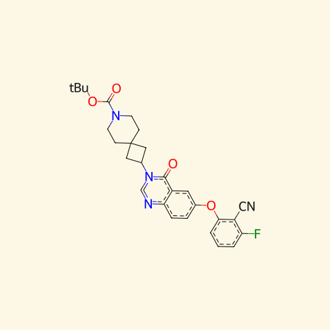 CC(C)(C)OC(=O)N1CCC2(CC1)CC(n1cnc3ccc(Oc4cccc(F)c4C#N)cc3c1=O)C2